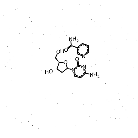 NC(=O)c1cccnc1.Nc1ccn([C@H]2C[C@H](O)[C@@H](CO)O2)c(=O)n1